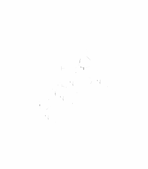 CC(C)C(NC(=O)c1cccc(N)c1)C(=O)N1CCC(OC(N)=O)(c2ccc(Cl)cc2)C(C)(C)C1